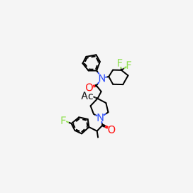 CC(=O)C1(CC(=O)N(c2ccccc2)C2CCCC(F)(F)C2)CCN(C(=O)C(C)c2ccc(F)cc2)CC1